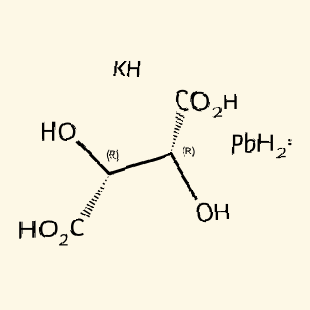 O=C(O)[C@H](O)[C@@H](O)C(=O)O.[KH].[PbH2]